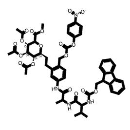 COC(=O)C1O[C@@H](CCc2cc(NC(=O)C(C)NC(=O)C(NC(=O)OCC3c4ccccc4-c4ccccc43)C(C)C)ccc2COC(=O)Oc2ccc([N+](=O)[O-])cc2)[C@H](OC(C)=O)[C@@H](OC(C)=O)[C@@H]1OC(C)=O